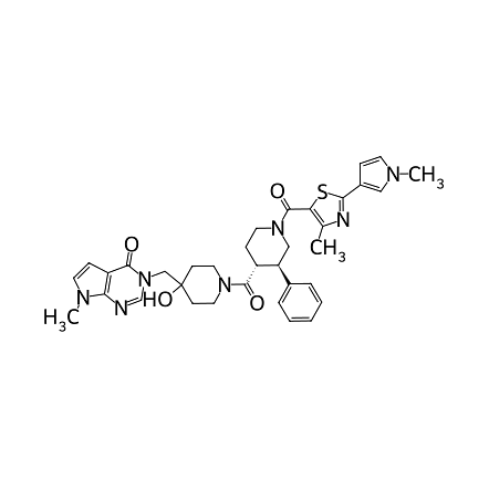 Cc1nc(-c2ccn(C)c2)sc1C(=O)N1CC[C@@H](C(=O)N2CCC(O)(Cn3cnc4c(ccn4C)c3=O)CC2)[C@H](c2ccccc2)C1